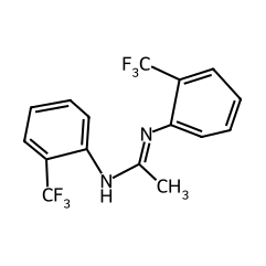 C/C(=N\c1ccccc1C(F)(F)F)Nc1ccccc1C(F)(F)F